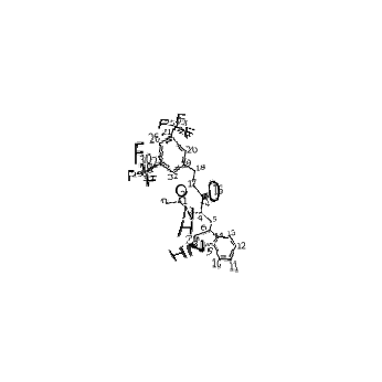 CC(=O)NC(Cc1c[nH]c2ccccc12)C(=O)CCc1cc(C(F)(F)F)cc(C(F)(F)F)c1